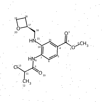 COC(=O)c1ccc(NC(=O)C(C)Cl)c(NC[C@@H]2CCO2)c1